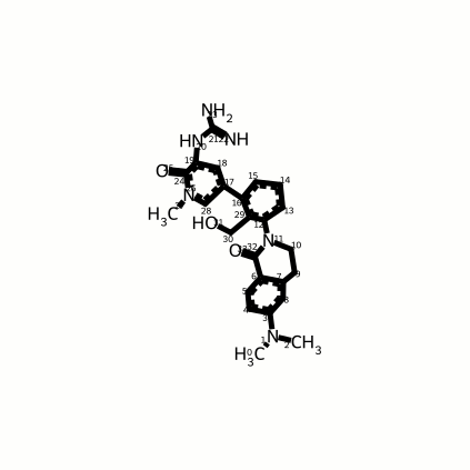 CN(C)c1ccc2c(c1)CCN(c1cccc(-c3cc(NC(=N)N)c(=O)n(C)c3)c1CO)C2=O